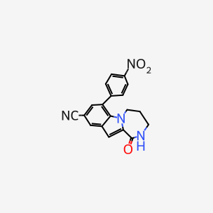 N#Cc1cc(-c2ccc([N+](=O)[O-])cc2)c2c(c1)cc1n2CCCNC1=O